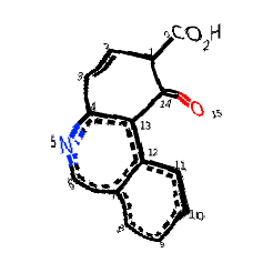 O=C(O)C1C=Cc2ncc3ccccc3c2C1=O